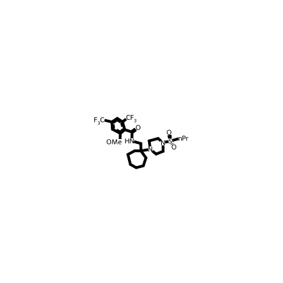 CCCS(=O)(=O)N1CCN(C2(CNC(=O)c3c(OC)cc(C(F)(F)F)cc3C(F)(F)F)CCCCCC2)CC1